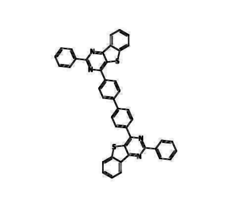 c1ccc(-c2nc(-c3ccc(-c4ccc(-c5nc(-c6ccccc6)nc6c5sc5ccccc56)cc4)cc3)c3sc4ccccc4c3n2)cc1